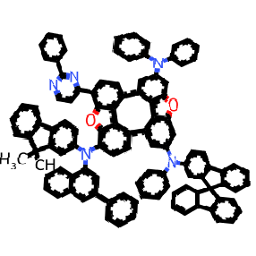 CC1(C)c2ccccc2-c2ccc(N(c3cc(-c4ccccc4)cc4ccccc34)c3ccc4c5cc(N(c6ccccc6)c6ccc7c(c6)C6(c8ccccc8-7)c7ccccc7C7C=CC=CC76)cc6oc7cc(N(c8ccccc8)c8ccccc8)cc(c8ccc(-c9ccnc(-c%10ccccc%10)n9)c9oc3c4c98)c7c65)cc21